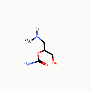 CCN(C)CC(CO)OC(N)=O